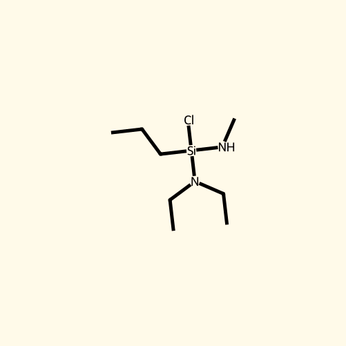 CCC[Si](Cl)(NC)N(CC)CC